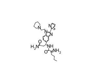 CCCC[C@H](N)C(=O)NC(CC(N)=O)c1ccc2c(c1)nc(-c1nccs1)n2CCN1CCCCC1